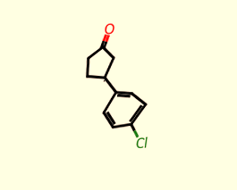 O=C1CC[C](c2ccc(Cl)cc2)C1